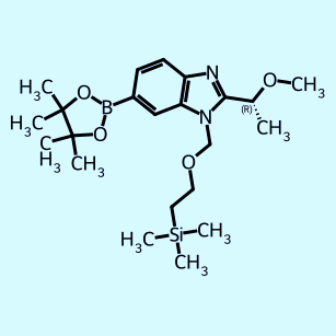 CO[C@H](C)c1nc2ccc(B3OC(C)(C)C(C)(C)O3)cc2n1COCC[Si](C)(C)C